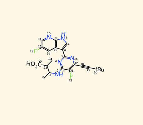 CC(Nc1nc(-c2c[nH]c3ncc(F)cc23)nc(C#CC(C)(C)C)c1F)C(C)C(=O)O